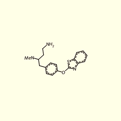 CNC(CCN)Cc1ccc(Oc2nc3ccccc3s2)cc1